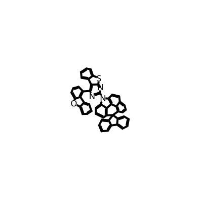 c1ccc2c(c1)-c1ccccc1C21c2cccc3ccc4c(c23)c2c1cccc2n4-c1nc(-c2cccc3oc4ccccc4c23)c2c(n1)sc1ccccc12